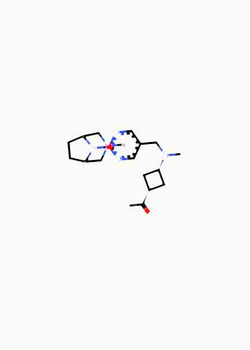 CCC(=O)[C@H]1C[C@@H](N(C)Cc2cnc(N3C4CCC3CN(C(C)C)C4)nc2)C1